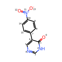 O=c1[nH]cncc1-c1ccc([N+](=O)[O-])cc1